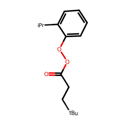 CC(C)c1ccccc1OOC(=O)CCC(C)(C)C